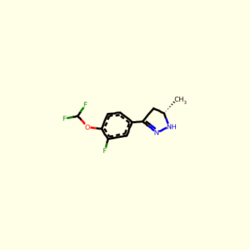 C[C@H]1CC(c2ccc(OC(F)F)c(F)c2)=NN1